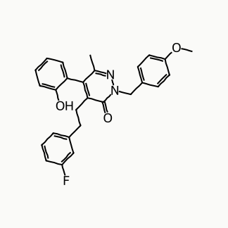 COc1ccc(Cn2nc(C)c(-c3ccccc3O)c(CCc3cccc(F)c3)c2=O)cc1